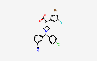 N#Cc1cccc(C(c2ccc(Cl)cc2)N2CC([C@H](C(=O)O)c3cc(F)cc(Br)c3)C2)c1